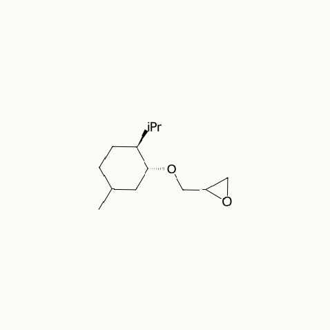 CC1CC[C@@H](C(C)C)[C@H](OCC2CO2)C1